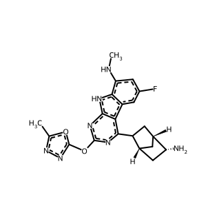 CNc1cc(F)cc2c1[nH]c1nc(Oc3nnc(C)o3)nc(C3C[C@H]4C[C@@H]3C[C@H]4N)c12